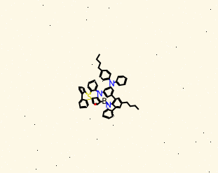 CCCCc1ccc(N(c2ccccc2)c2cc3c4c(c2)N2c5ccccc5S5(c6ccccc6-c6ccccc65)c5cccc(c52)B4n2c4ccccc4c4cc(CCCC)cc-3c42)cc1